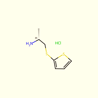 C[C@@H](N)CSc1cccs1.Cl